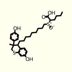 CCCCC(C(=O)O)[S+]([O-])CCCCCCCCCC1c2ccc(O)cc2SCC1(C)c1ccc(O)cc1